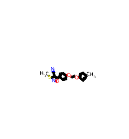 CSc1noc(-c2ccc(OCCOc3ccc(C)cc3)cc2)c1C#N